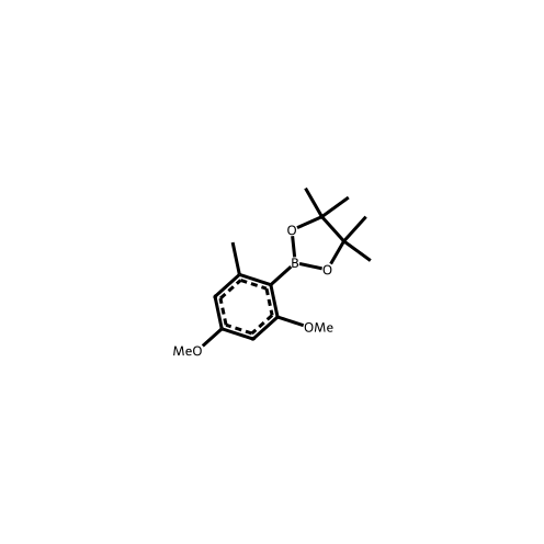 COc1cc(C)c(B2OC(C)(C)C(C)(C)O2)c(OC)c1